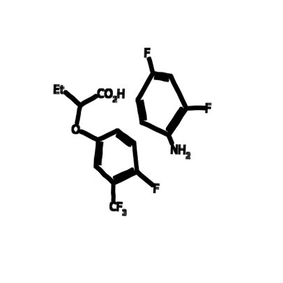 CCC(Oc1ccc(F)c(C(F)(F)F)c1)C(=O)O.Nc1ccc(F)cc1F